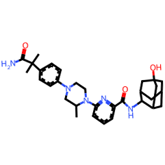 CC1CN(c2ccc(C(C)(C)C(N)=O)cc2)CCN1c1cccc(C(=O)NC2C3CC4CC2CC(O)(C4)C3)n1